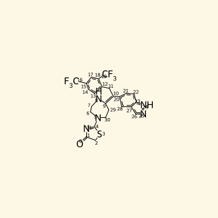 O=C1CSC(N2CCNC(=C(Cc3ccc(C(F)(F)F)cc3C(F)(F)F)c3ccc4[nH]ncc4c3)CC2)=N1